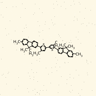 Cc1ccc2c(c1)C(C)(C)c1cc(-c3sc(-c4cc(C)c(-c5ccc6c(c5)C(C)(C)c5cc(C)ccc5-6)s4)cc3C)ccc1-2